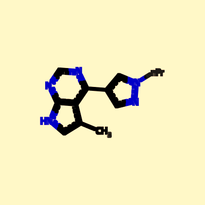 CCCn1cc(-c2ncnc3[nH]cc(C)c23)cn1